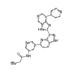 CC(C)(C)CC(=O)Nc1cncc(-c2ccc3[nH]nc(-c4nc5c(-c6ccncc6)cncc5[nH]4)c3n2)c1